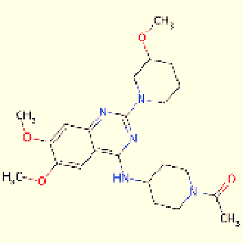 COc1cc2nc(N3CCCC(OC)C3)nc(NC3CCN(C(C)=O)CC3)c2cc1OC